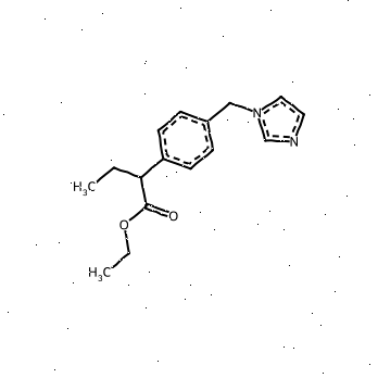 CCOC(=O)C(CC)c1ccc(Cn2ccnc2)cc1